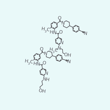 Cc1ccc(C(=O)N2CCC(c3ccc(C#N)cc3)CC2)cc1NC(=O)c1ccc(N(C)CCO)nc1.Cc1ccc(C(=O)N2CCC(c3ccc(C#N)cc3)CC2)cc1NC(=O)c1ccc(NCCCO)nc1